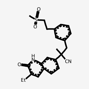 CCc1cc2ccc(C(C)(C#N)Cc3cccc(CCS(C)(=O)=O)c3)cc2[nH]c1=O